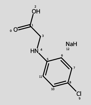 O=C(O)CNc1ccc(Cl)cc1.[NaH]